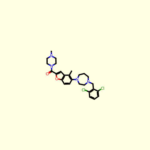 Cc1c(N2CCCN(Cc3c(Cl)cccc3Cl)CC2)ccc2oc(C(=O)N3CCN(C)CC3)cc12